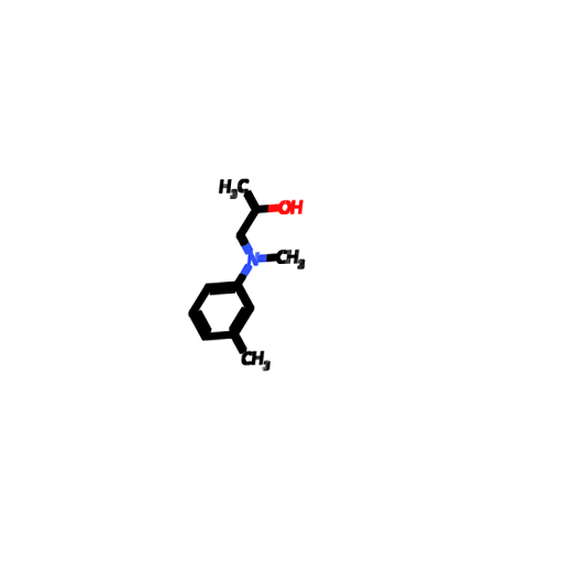 Cc1cccc(N(C)CC(C)O)c1